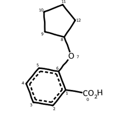 O=C(O)c1ccccc1OC1CCCC1